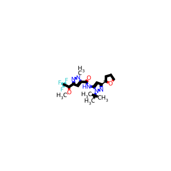 COC(c1cc(C(=O)Nc2cc([C@H]3C[CH]CO3)nn2C(C)(C)C)n(C)n1)C(F)(F)F